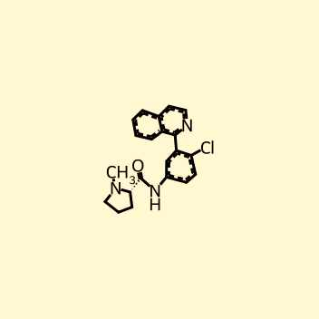 CN1CCC[C@H]1C(=O)Nc1ccc(Cl)c(-c2nccc3ccccc23)c1